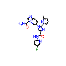 Cc1cccc(-c2nc(C(=O)Nc3ccc(F)cn3)cn2-c2ccc3ncc(C(N)=O)n3c2)n1